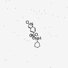 O=C1C=c2cc(S(=O)(=O)ONC3CCCCC3)ccc2=N1